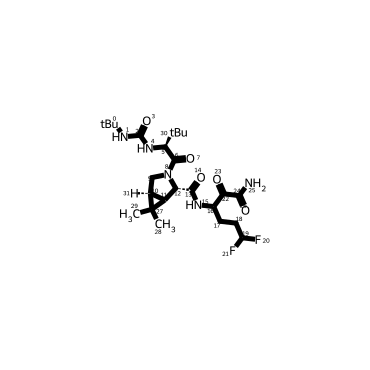 CC(C)(C)NC(=O)N[C@H](C(=O)N1C[C@H]2C([C@H]1C(=O)NC(CCC(F)F)C(=O)C(N)=O)C2(C)C)C(C)(C)C